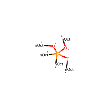 CCCCCCCCOP(CCCCCCCC)(CCCCCCCC)(OCCCCCCCC)OCCCCCCCC